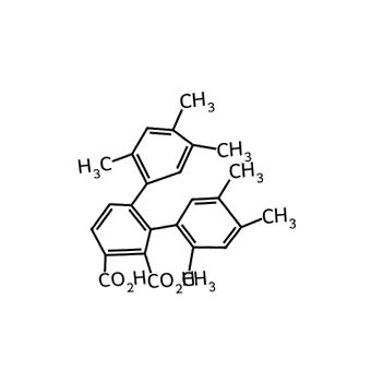 Cc1cc(C)c(-c2ccc(C(=O)O)c(C(=O)O)c2-c2cc(C)c(C)cc2C)cc1C